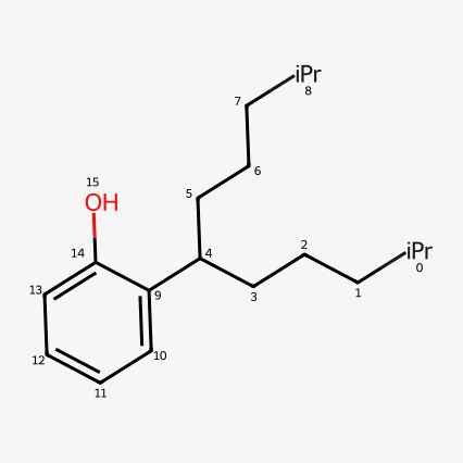 CC(C)CCCC(CCCC(C)C)c1ccccc1O